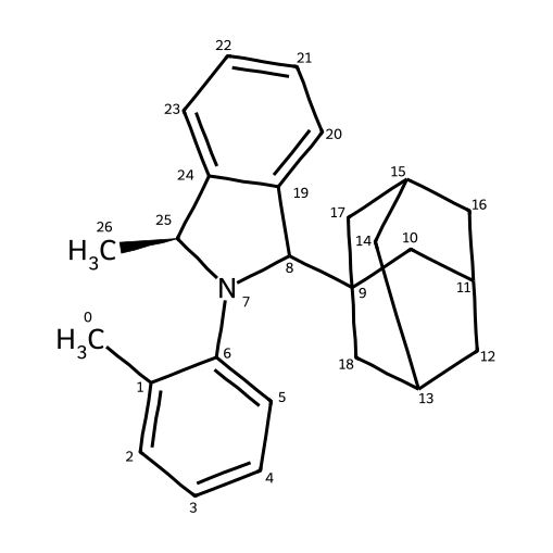 Cc1ccccc1N1C(C23CC4CC(CC(C4)C2)C3)c2ccccc2[C@@H]1C